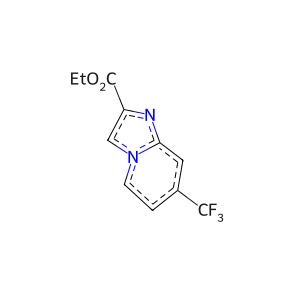 CCOC(=O)c1cn2ccc(C(F)(F)F)cc2n1